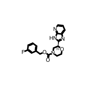 O=C(OCc1cccc(F)c1)N1CCO[C@H](c2nc3cccnc3[nH]2)C1